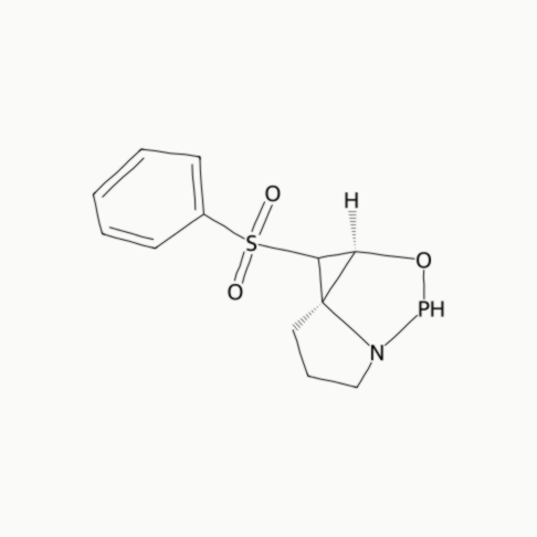 O=S(=O)(c1ccccc1)C1[C@H]2OPN3CCC[C@]123